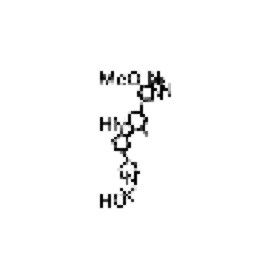 COc1cc(-c2cc(C)c3c(c2)[nH]c2ccc(C4CCN(CC(C)(C)O)CC4)cc23)cn2ncnc12